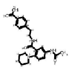 CC(=O)Nc1ccc(N2CCCCC2)c(C(=O)NCCc2ccc(C(=O)O)cc2)c1